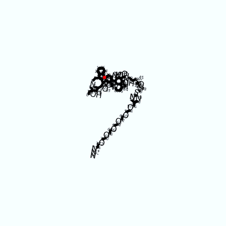 CC[C@]1(O)C[C@@H]2C[N@@](CCc3c([nH]c4ccccc34)[C@@](C(=O)OC)(c3cc4c(cc3OC)N(C)[C@H]3[C@@](O)(C(=O)NCCC[Si](C)(C)O[Si](C)(C)CSc5ncc(COCCOCCOCCOCCOCCOCCN=[N+]=[N-])cn5)[C@H](O)[C@]5(CC)C=CCN6CC[C@]43[C@@H]65)C2)C1